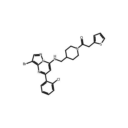 O=C(Cc1cccs1)N1CCC(CNc2cc(-c3ccccc3Cl)nc3c(Br)cnn23)CC1